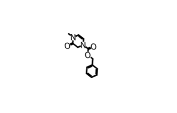 CN1C=CN(C(=O)OCc2ccccc2)CC1=O